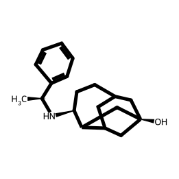 C[C@H](N[C@H]1CCC2CC3C[C@@](O)(C2)CC31)c1ccccc1